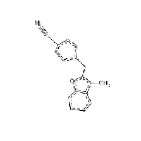 Cc1c(Cc2ccc(C#N)cc2)oc2ccccc12